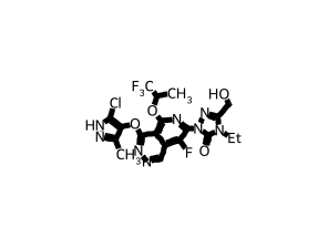 CCn1c(CO)nn(-c2nc(OC(C)C(F)(F)F)c3c(Oc4c(C)n[nH]c4Cl)nncc3c2F)c1=O